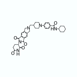 O=C1CCC(N2C(=O)c3cc4c(cc3C2=O)CN(CC2CCN(c3ccc(C(=O)NC5CCCCC5)cc3)CC2)C4)C(=O)N1